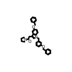 O=C(Cc1cn(Cc2cccc(OCc3ccccc3)c2)c2ccc(OCc3ccccc3)cc12)N1CCCC1